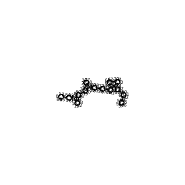 c1ccc(-c2ccc(-n3c4ccccc4c4cc(-c5ccc6c(c5)c5ccccc5n6-c5ccc(-c6ccc(-c7cccc(C8(c9ccc(-c%10cccc(-c%11ccccc%11)c%10)cc9)c9ccccc9-c9ccccc98)c7)cc6)cc5)ccc43)cc2)cc1